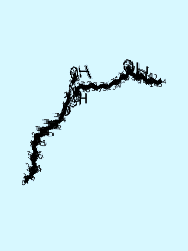 CCCCCCCCCCCCCCCCOCC(O)CN(CCO)C(=O)CCCCCCCCCCC(O)CCCCCC